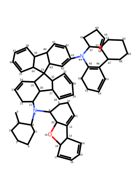 CC1CCCCC1N(C1CCC=C2C3C=CC=CC3OC21)C1CC=CC2C1C1C=CC=CC1C21C2C=CC=CC2C2C=CC(N(C3=C(C4CCCCC4)C=CCC3)C3C=CCC3)=CC21